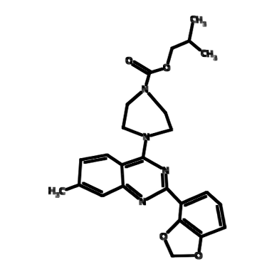 Cc1ccc2c(N3CCN(C(=O)OCC(C)C)CC3)nc(-c3cccc4c3OCO4)nc2c1